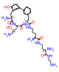 NCCNC(=O)[C@@H](N)CCNC(=O)[C@@H](N)CCCNC(=O)[C@@H]1Cc2cccc(c2)-c2ccc(O)c(c2)C[C@H](N)C(=O)N[C@@H](C[C@@H](O)CN)C(=O)N1